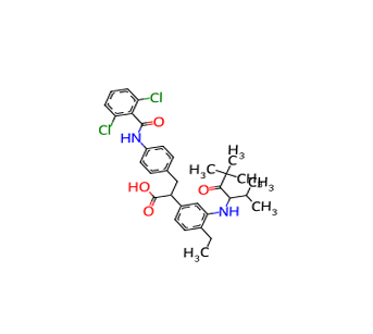 CCc1ccc(C(Cc2ccc(NC(=O)c3c(Cl)cccc3Cl)cc2)C(=O)O)cc1NC(C(=O)C(C)(C)C)C(C)C